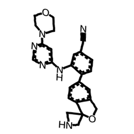 N#Cc1ccc(-c2ccc3c(c2)COC32CNC2)c(Nc2cc(N3CCOCC3)ncn2)c1